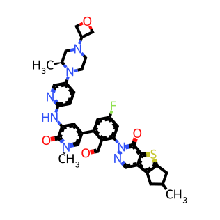 CC1Cc2sc3c(=O)n(-c4cc(F)cc(-c5cc(Nc6ccc(N7CCN(C8COC8)C[C@@H]7C)cn6)c(=O)n(C)c5)c4C=O)ncc3c2C1